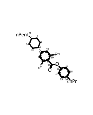 CCCCC[C@H]1CC[C@H](c2cc(F)c(C(=O)Oc3ccc(CCC)cc3)c(F)c2)CC1